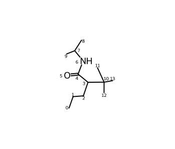 CCCC(C(=O)NC(C)C)C(C)(C)C